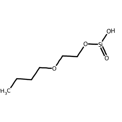 CCCCOCCO[Si](=O)O